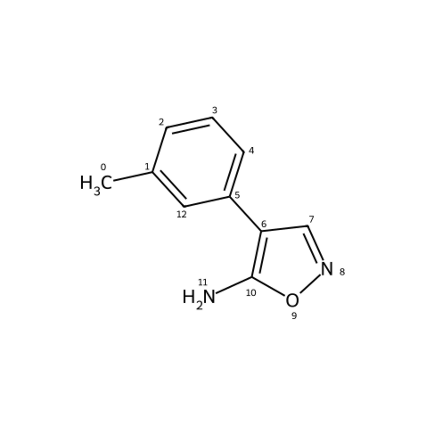 Cc1cccc(-c2cnoc2N)c1